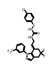 O=C(NC/C=C1\CC(F)(F)Cc2cnn(-c3cccc(C(F)(F)F)c3)c21)NSc1ccc(Cl)cc1